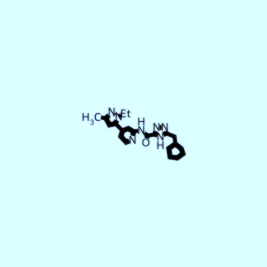 CCn1nc(C)cc1-c1ccnc(NC(=O)c2nnc(Cc3ccccc3)[nH]2)c1